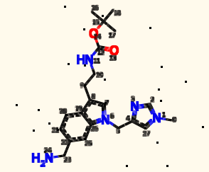 Cn1cnc(Cn2cc(CCNC(=O)OC(C)(C)C)c3ccc(CN)cc32)c1